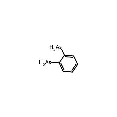 [AsH2]c1ccccc1[AsH2]